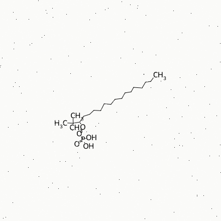 CCCCCCCCCCCCCCCC(OOP(=O)(O)O)C(C)(C)C